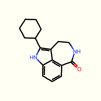 O=C1NCCc2c(C3CCCCC3)[nH]c3cccc1c23